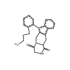 CCCCc1ccccc1-n1c2c(c3ccccc31)CC1C(=O)NCC(=O)N1C2